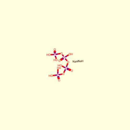 O=P(O)(O)OP(=O)(O)OP(=O)(O)OP(=O)(O)O.[NaH].[NaH]